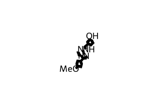 COc1ccc(-c2cnc3c(NCc4cccc(O)c4)nccn23)cc1